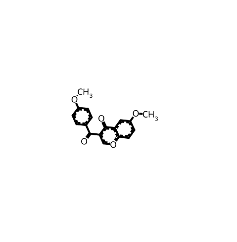 COc1ccc(C(=O)c2coc3ccc(OC)cc3c2=O)cc1